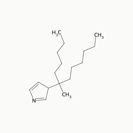 CCCCCCC(C)(CCCCC)C1C=CN=C1